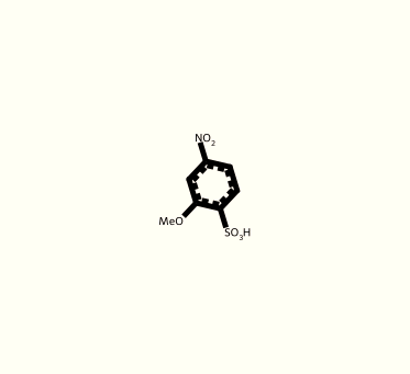 COc1cc([N+](=O)[O-])ccc1S(=O)(=O)O